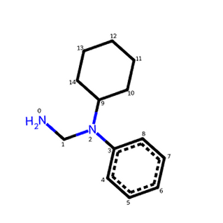 NCN(c1ccccc1)C1CCCCC1